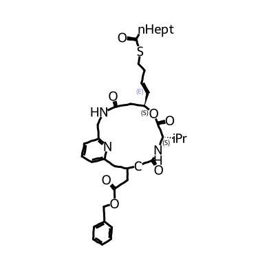 CCCCCCCC(=O)SCC/C=C/[C@@H]1CC(=O)NCc2cccc(n2)CC(CC(=O)OCc2ccccc2)CC(=O)N[C@@H](C(C)C)C(=O)O1